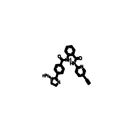 C#Cc1ccc(NC(=O)c2ccccc2NC(=O)c2ccc(C3=NCCN3CCC)cc2)nc1